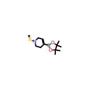 C=PN1CC=C(B2OC(C)(C)C(C)(C)O2)CC1